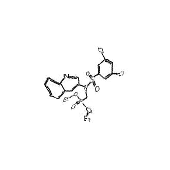 CCOP(=O)(CN(c1cnc2ccccc2c1)S(=O)(=O)c1cc(Cl)cc(Cl)c1)OCC